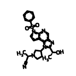 C[C@H](C#N)N1CCC(n2c([C@@H](C)O)nc3cnc4c(ccn4S(=O)(=O)c4ccccc4)c32)C1